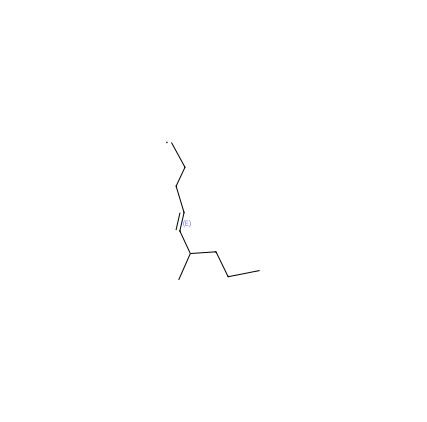 [CH2]CC/C=C/C(C)CCC